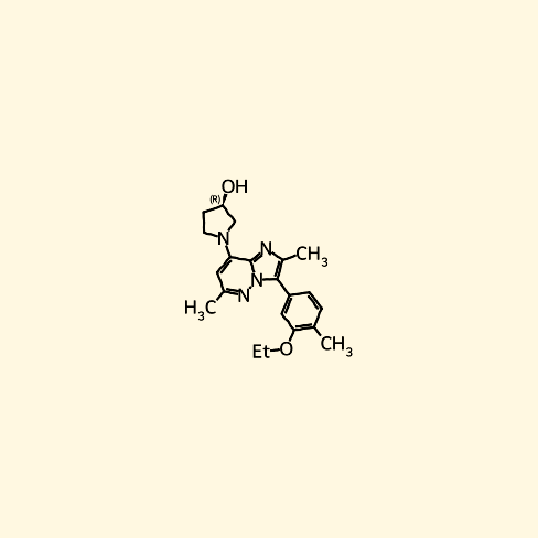 CCOc1cc(-c2c(C)nc3c(N4CC[C@@H](O)C4)cc(C)nn23)ccc1C